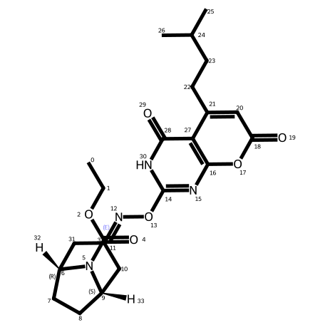 CCOC(=O)N1[C@@H]2CC[C@H]1C/C(=N\Oc1nc3oc(=O)cc(CCC(C)C)c3c(=O)[nH]1)C2